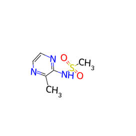 Cc1nccnc1NS(C)(=O)=O